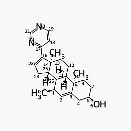 C[C@@H]1C=C2C[C@H](O)CC[C@]2(C)[C@H]2CC[C@]3(C)C(c4ccncn4)=CC[C@H]3[C@H]12